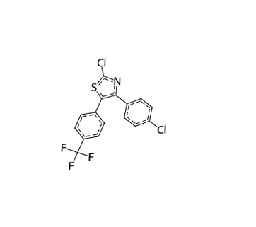 FC(F)(F)c1ccc(-c2sc(Cl)nc2-c2ccc(Cl)cc2)cc1